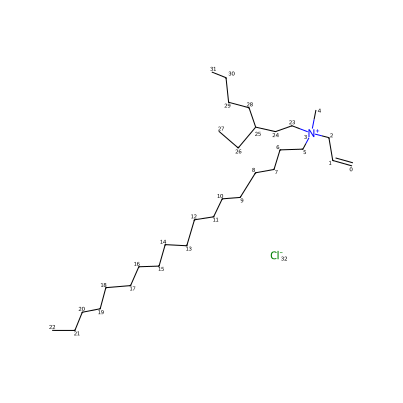 C=CC[N+](C)(CCCCCCCCCCCCCCCCCC)CCC(CC)CCCC.[Cl-]